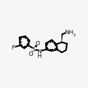 NC[C@H]1CCCc2cc(NS(=O)(=O)c3cccc(F)c3)ccc21